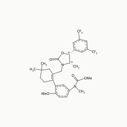 COC(=O)N(C)c1ccc(OC)c(C2=C(CN3C(=O)O[C@H](c4cc(C(F)(F)F)cc(C(F)(F)F)c4)[C@@H]3C)CC(C)(C)CC2)c1